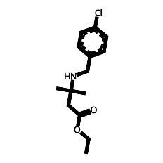 CCOC(=O)CC(C)(C)NCc1ccc(Cl)cc1